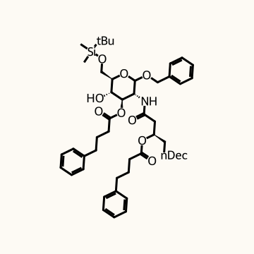 CCCCCCCCCCC[C@H](CC(=O)N[C@H]1C(OCc2ccccc2)O[C@H](CO[Si](C)(C)C(C)(C)C)[C@@H](O)[C@@H]1OC(=O)CCCc1ccccc1)OC(=O)CCCc1ccccc1